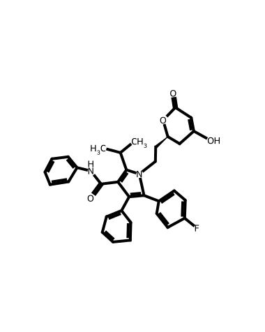 CC(C)c1c(C(=O)Nc2ccccc2)c(-c2ccccc2)c(-c2ccc(F)cc2)n1CC[C@@H]1CC(O)=CC(=O)O1